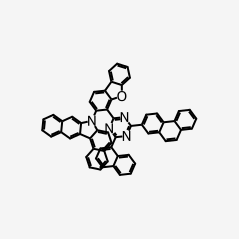 c1ccc2cc3c(cc2c1)c1c2ccccc2ccc1n3-c1ccc2c(oc3ccccc32)c1-c1nc(-c2ccc3c(ccc4ccccc43)c2)nc(-c2cccc3ccccc23)n1